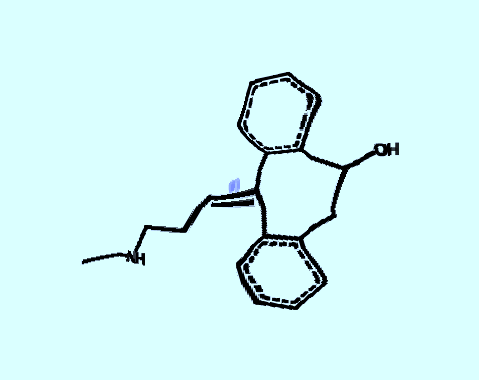 CNCC/C=C1\c2ccccc2CC(O)c2ccccc21